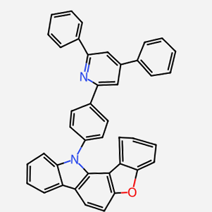 c1ccc(-c2cc(-c3ccccc3)nc(-c3ccc(-n4c5ccccc5c5ccc6oc7ccccc7c6c54)cc3)c2)cc1